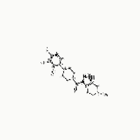 CCCN1CCc2c(C(=O)N3CCC(c4ccc(F)c(F)c4C(F)(F)F)CC3)n[nH]c2C1